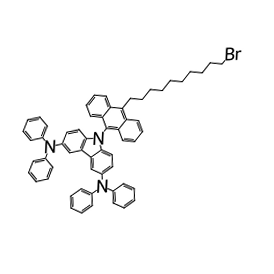 BrCCCCCCCCCCc1c2ccccc2c(-n2c3ccc(N(c4ccccc4)c4ccccc4)cc3c3cc(N(c4ccccc4)c4ccccc4)ccc32)c2ccccc12